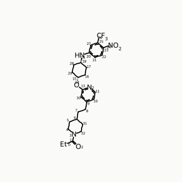 CCC(=O)N1CCC(CCc2ccnc(O[C@H]3CC[C@H](Nc4ccc([N+](=O)[O-])c(C(F)(F)F)c4)CC3)c2)CC1